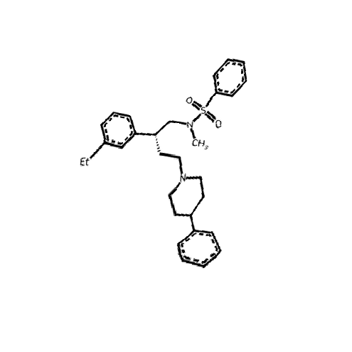 CCc1cccc([C@@H](CCN2CCC(c3ccccc3)CC2)CN(C)S(=O)(=O)c2ccccc2)c1